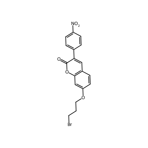 O=c1oc2cc(OCCCBr)ccc2cc1-c1ccc([N+](=O)[O-])cc1